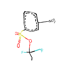 CC(F)(F)OS(=O)(=O)c1cccc([N+](=O)[O-])c1